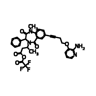 CC(CC(=O)OC(=O)C(F)(F)F)N1C(=O)c2cc(C#CCCOc3cccnc3N)ccc2N(C)C(=O)C1c1ccccc1